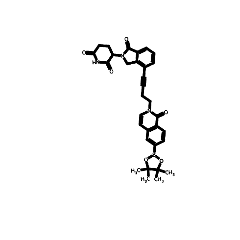 CC1(C)OB(c2ccc3c(=O)n(CCC#Cc4cccc5c4CN(C4CCC(=O)NC4=O)C5=O)ccc3c2)OC1(C)C